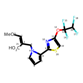 CO/C=C(/Cn1cccc1-c1nc(OC(F)(F)C(F)F)cs1)C(=O)O